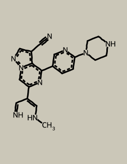 CN/C=C(\C=N)c1cn2ncc(C#N)c2c(-c2ccc(N3CCNCC3)nc2)n1